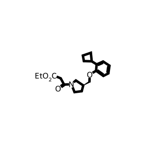 CCOC(=O)CC(=O)N1CC[C@H](COc2ccccc2C2CCC2)C1